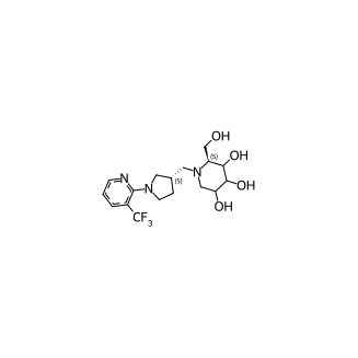 OC[C@H]1C(O)C(O)C(O)CN1C[C@@H]1CCN(c2ncccc2C(F)(F)F)C1